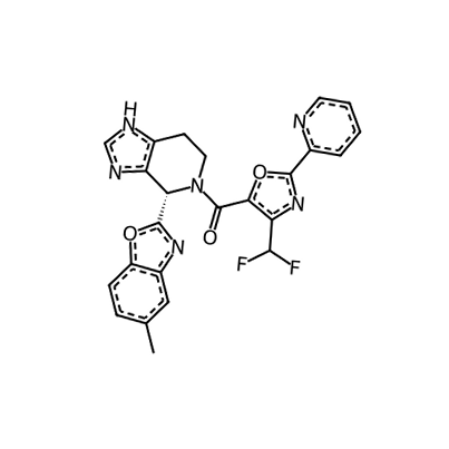 Cc1ccc2oc([C@@H]3c4nc[nH]c4CCN3C(=O)c3oc(-c4ccccn4)nc3C(F)F)nc2c1